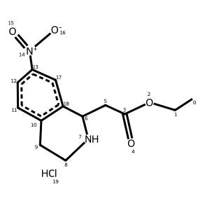 CCOC(=O)CC1NCCc2ccc([N+](=O)[O-])cc21.Cl